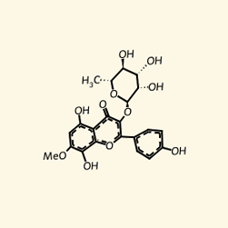 COc1cc(O)c2c(=O)c(O[C@H]3O[C@H](C)[C@@H](O)[C@H](O)[C@@H]3O)c(-c3ccc(O)cc3)oc2c1O